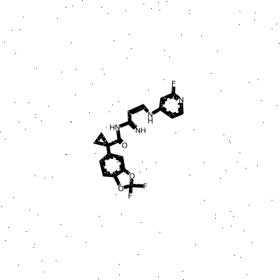 N=C(/C=C\Nc1ccnc(F)c1)NC(=O)C1(c2ccc3c(c2)OC(F)(F)O3)CC1